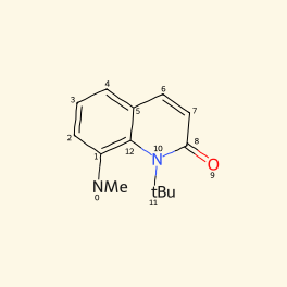 CNc1cccc2ccc(=O)n(C(C)(C)C)c12